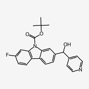 CC(C)(C)OC(=O)n1c2cc(F)ccc2c2ccc(C(O)c3ccncc3)cc21